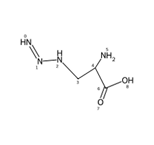 N=NNCC(N)C(=O)O